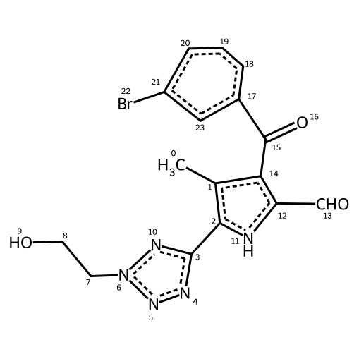 Cc1c(-c2nnn(CCO)n2)[nH]c(C=O)c1C(=O)c1cccc(Br)c1